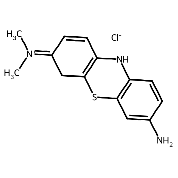 C[N+](C)=C1C=CC2=C(C1)Sc1cc(N)ccc1N2.[Cl-]